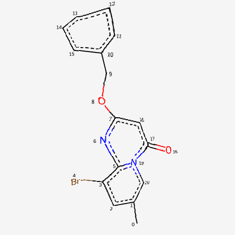 Cc1cc(Br)c2nc(OCc3ccccc3)cc(=O)n2c1